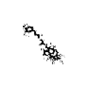 C=C[C@]1(C)CC[C@@H]2CC[C@]3(CCC(=O)[C@H]3[C@]2(C)COC(=O)COC(=O)/C=C/c2ccc(OC)c(OC)c2)[C@@H](C)[C@@H]1O